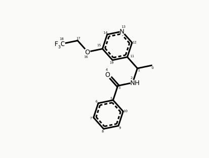 CC(NC(=O)c1ccccc1)c1cncc(OCC(F)(F)F)c1